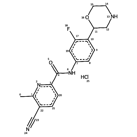 Cc1nc(C(=O)Nc2ccc(C3CNCCO3)c(F)c2)ccc1C#N.Cl